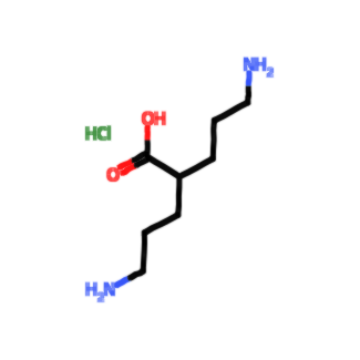 Cl.NCCCC(CCCN)C(=O)O